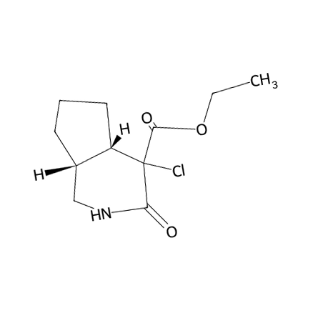 CCOC(=O)C1(Cl)C(=O)NC[C@@H]2CCC[C@@H]21